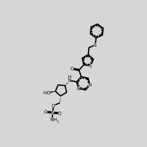 NS(=O)(=O)OC[C@H]1C[C@@H](Nc2ncncc2C(=O)c2cc(CSc3ccccc3)cs2)C[C@@H]1O